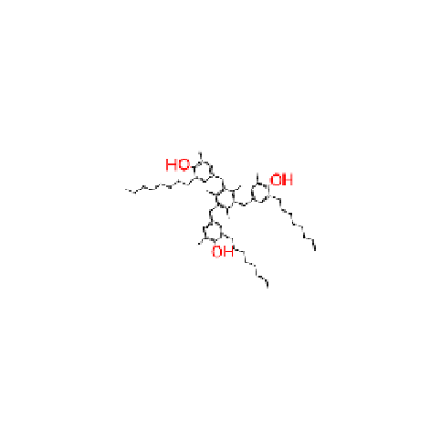 CCCCCCCCc1cc(Cc2c(C)c(Cc3cc(C)c(O)c(CCCCCCCC)c3)c(C)c(Cc3cc(C)c(O)c(CCCCCCCC)c3)c2C)cc(C)c1O